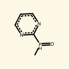 C[PH](=O)c1ncccn1